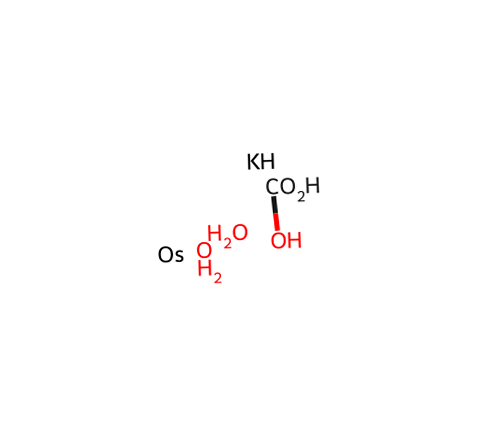 O.O.O=C(O)O.[KH].[Os]